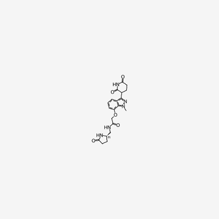 Cn1nc(C2CCC(=O)NC2=O)c2cccc(OCC(=O)NC[C@H]3CCC(=O)N3)c21